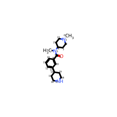 CN1CCC(N(C)C(=O)c2cccc(C3CCNCC3)c2)CC1